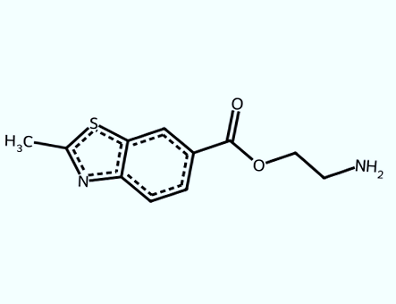 Cc1nc2ccc(C(=O)OCCN)cc2s1